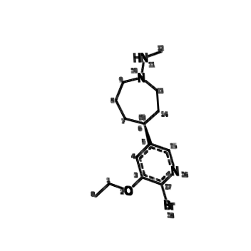 CCOc1cc([C@H]2CCCN(NC)CC2)cnc1Br